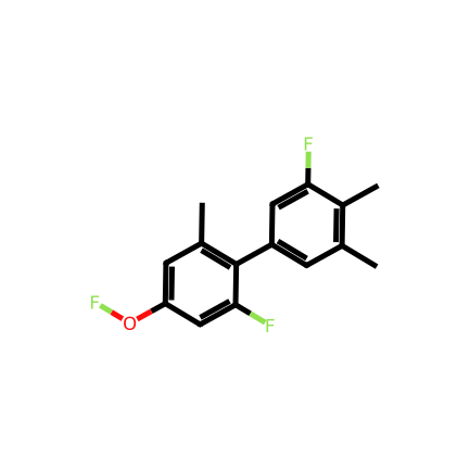 Cc1cc(-c2c(C)cc(OF)cc2F)cc(F)c1C